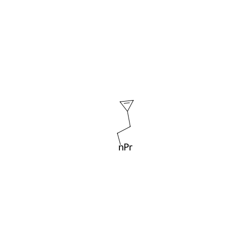 [CH2]CCCCC1C=C1